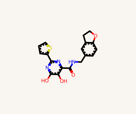 O=C(NCc1ccc2c(c1)CCO2)c1nc(-c2cccs2)nc(O)c1O